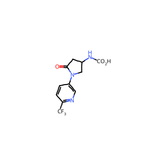 O=C(O)NC1CC(=O)N(c2ccc(C(F)(F)F)nc2)C1